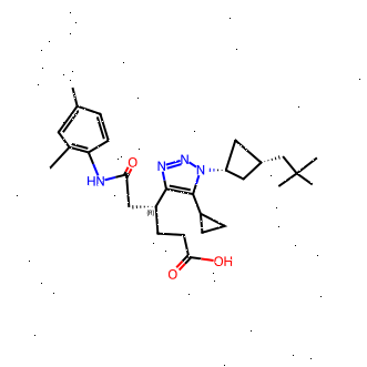 Cc1ccc(NC(=O)C[C@@H](CCC(=O)O)c2nnn([C@H]3C[C@@H](CC(C)(C)C)C3)c2C2CC2)c(C)c1